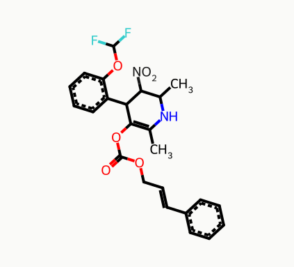 CC1=C(OC(=O)OCC=Cc2ccccc2)C(c2ccccc2OC(F)F)C([N+](=O)[O-])C(C)N1